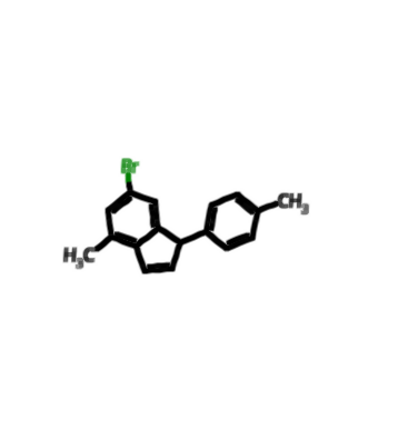 Cc1ccc(C2C=Cc3c(C)cc(Br)cc32)cc1